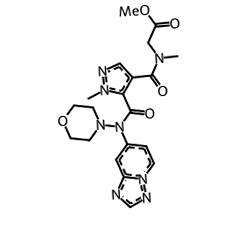 COC(=O)CN(C)C(=O)c1cnn(C)c1C(=O)N(c1ccn2ncnc2c1)N1CCOCC1